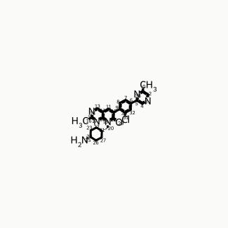 Cc1cncc(-c2ccc(-c3cc4cnc(C)nc4n(C[C@H]4CC[C@@H](N)CC4)c3=O)c(Cl)c2)n1